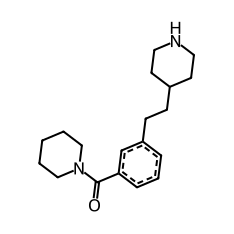 O=C(c1cccc(CCC2CCNCC2)c1)N1CCCCC1